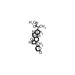 COC(=O)N(C)[C@H]1CC[C@@]2(C)[C@H](CC[C@@H]3[C@@H]2CC[C@]2(C)[C@@H](c4ccc(=O)oc4)C[C@H]4O[C@]342)C1